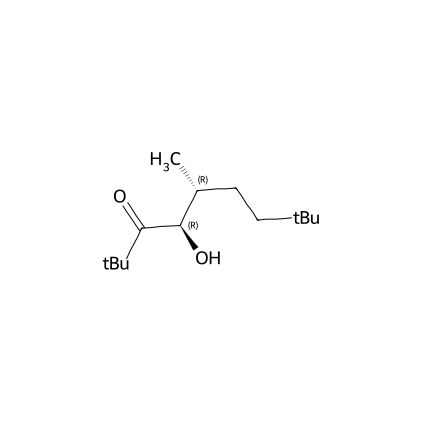 C[C@H](CCC(C)(C)C)[C@@H](O)C(=O)C(C)(C)C